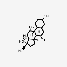 C#C[C@]1(O)CC[C@H]2[C@@H]3[C@H](O)CC4C[C@H](O)CC[C@]4(C)[C@H]3CC[C@@]21C